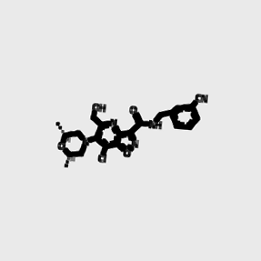 C[C@@H]1CN(c2c(CO)nc3c(C(=O)NCc4cccc(C#N)c4)noc3c2Cl)C[C@H](C)O1